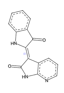 O=C1Nc2ncccc2/C1=C1/Nc2ccccc2C1=O